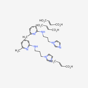 Cc1cccc(NCCCn2ccnc2)n1.Cc1cccc(NCCCn2ccnc2)n1.O=C(O)/C=C/C(=O)O.O=C(O)/C=C/C(=O)O.O=C(O)/C=C/C(=O)O